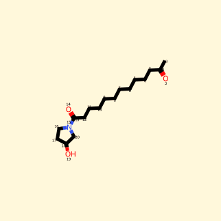 CC(=O)CCCCCCCCCCC(=O)N1CCC(O)C1